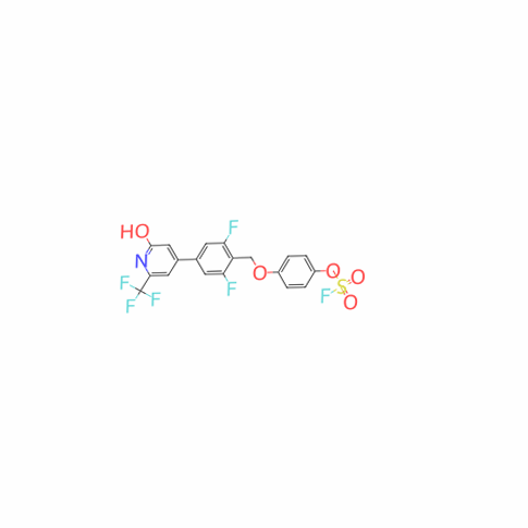 O=S(=O)(F)Oc1ccc(OCc2c(F)cc(-c3cc(O)nc(C(F)(F)F)c3)cc2F)cc1